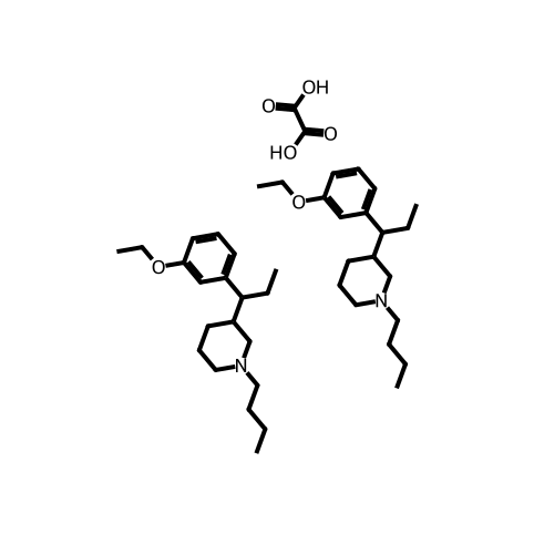 CCCCN1CCCC(C(CC)c2cccc(OCC)c2)C1.CCCCN1CCCC(C(CC)c2cccc(OCC)c2)C1.O=C(O)C(=O)O